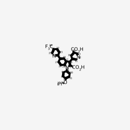 CC(C)Oc1ccc(-n2c(C(=O)O)c(-c3cncc(C(=O)O)c3)c3cc(-c4ccc(C(F)(F)F)cn4)ccc32)cc1